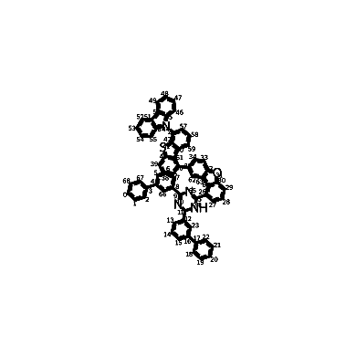 c1ccc(-c2cccc(C3=NC(c4cccc(-c5ccccc5)c4)NC(c4cccc5oc6ccc(-c7cccc8sc9c(-n%10c%11ccccc%11c%11ccccc%11%10)cccc9c78)cc6c45)=N3)c2)cc1